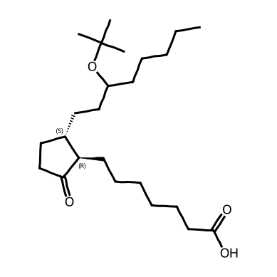 CCCCCC(CC[C@H]1CCC(=O)[C@@H]1CCCCCCC(=O)O)OC(C)(C)C